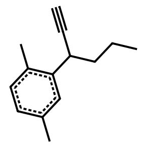 [C]#CC(CCC)c1cc(C)ccc1C